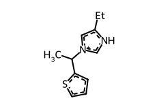 CCc1c[n+](C(C)c2cccs2)c[nH]1